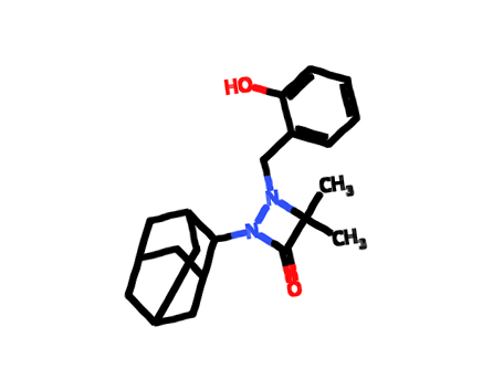 CC1(C)C(=O)N(C2C3CC4CC(C3)CC2C4)N1Cc1ccccc1O